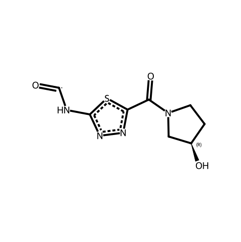 O=[C]Nc1nnc(C(=O)N2CC[C@@H](O)C2)s1